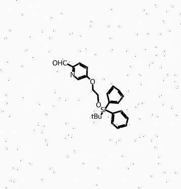 CC(C)(C)[Si](OCCOc1ccc(C=O)nc1)(c1ccccc1)c1ccccc1